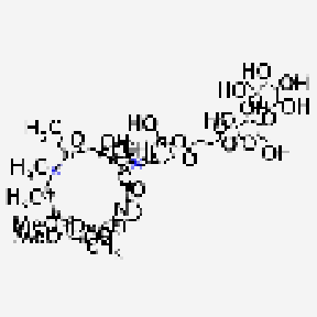 C=CC[C@@H]1/C=C(\C)C[C@@H](C)C[C@H](OC)[C@H]2O[C@@](O)(C(=O)C(=O)N3CCCCC3C(=O)O[C@H](/C(C)=C/C3CCC(OC(=O)CCC(=O)OC4OC(CO)C(OC5OC(CO)C(O)C(O)C5O)C(O)C4O)[C@H](CO)C3)[C@H](C)[C@H](O)CC1=O)[C@H](C)CC2OC